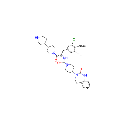 CNc1c(Cl)cc(C[C@@H](NC(=O)N2CCC(N3CCc4ccccc4NC3=O)CC2)C(=O)N2CCC(C3CCNCC3)CC2)cc1C(F)(F)F